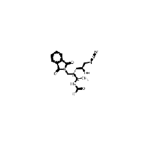 C[C@@H](NC(=O)O)[C@@H](CC(O)CN=[N+]=[N-])CN1C(=O)c2ccccc2C1=O